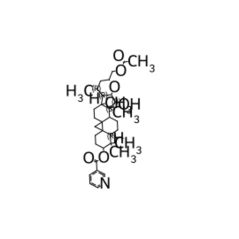 CC(=O)OCC1C[C@@H](C)[C@H]2C(O1)[C@H](O)[C@@]1(C)C3CC[C@H]4C(C)(C)C(OC(=O)c5cccnc5)CCC45CC35CCC21C